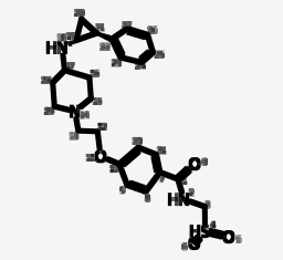 O=C(NC[SH](=O)=O)c1ccc(OCCN2CCC(N[C@@H]3C[C@H]3c3ccccc3)CC2)cc1